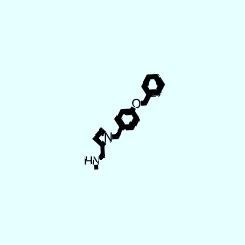 CNCC1CCN1Cc1ccc(OCc2ccccc2)cc1